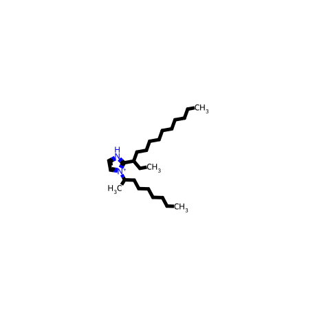 CCCCCCCCCCC(CC)c1[nH]cc[n+]1C(C)CCCCCCC